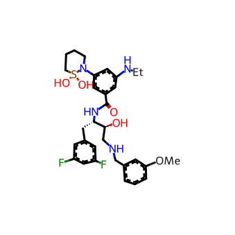 CCNc1cc(C(=O)N[C@@H](Cc2cc(F)cc(F)c2)[C@@H](O)CNCc2cccc(OC)c2)cc(N2CCCCS2(O)O)c1